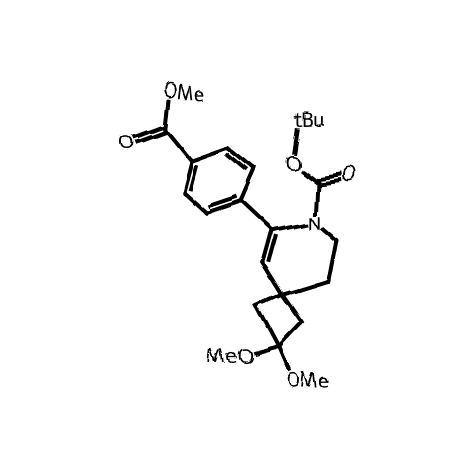 COC(=O)c1ccc(C2=CC3(CCN2C(=O)OC(C)(C)C)CC(OC)(OC)C3)cc1